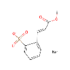 COC(=O)C=Cc1ccccc1S(=O)(=O)[O-].[Na+]